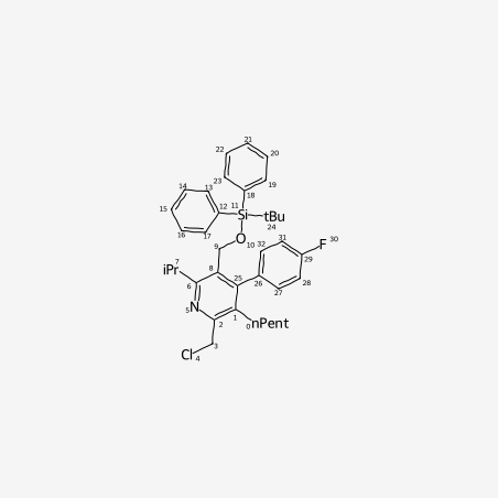 CCCCCc1c(CCl)nc(C(C)C)c(CO[Si](c2ccccc2)(c2ccccc2)C(C)(C)C)c1-c1ccc(F)cc1